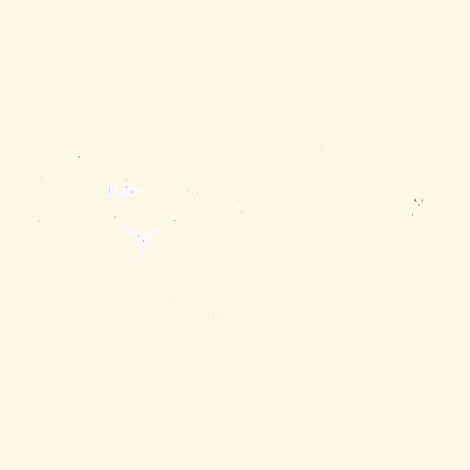 CCOC(=O)C1(Br)CCN(c2ccccc2)C(C(N)=O)(C(=O)OCc2ccc(OC)cc2)C1